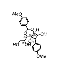 COc1ccc(C2O[C@H]([C@H](O)CO)[C@@]3(O)C(c4ccc(OC)cc4)C(O)[C@@H]3O2)cc1